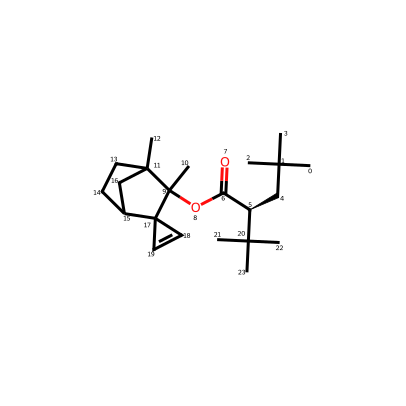 CC(C)(C)C[C@H](C(=O)OC1(C)C2(C)CCC(C2)C12C=C2)C(C)(C)C